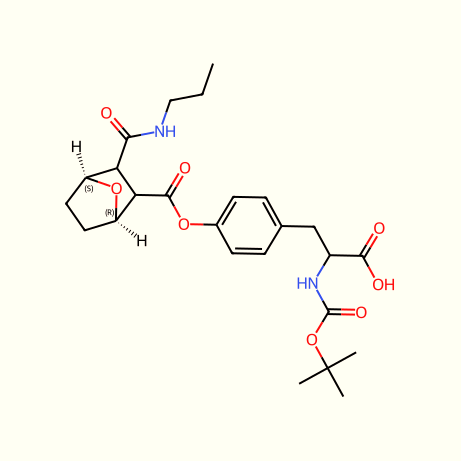 CCCNC(=O)C1C(C(=O)Oc2ccc(CC(NC(=O)OC(C)(C)C)C(=O)O)cc2)[C@H]2CC[C@@H]1O2